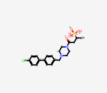 CC(C)C(CC(=O)N1CCN(Cc2ccc(-c3ccc(Cl)cc3)cc2)CC1)P(=O)(O)O